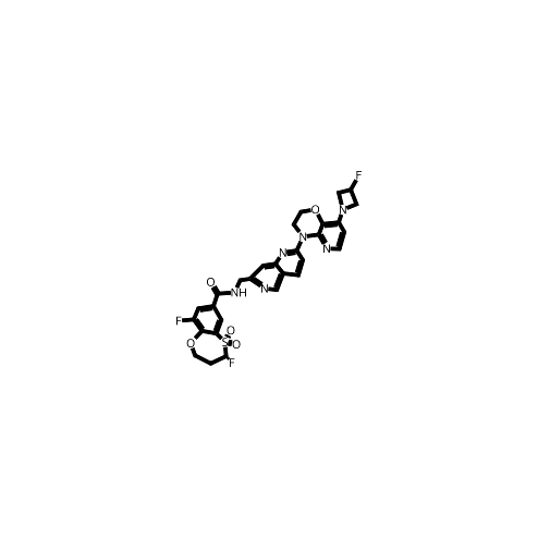 O=C(NCc1cc2nc(N3CCOc4c(N5CC(F)C5)ccnc43)ccc2cn1)c1cc(F)c2c(c1)S(=O)(=O)[C@@H](F)CCO2